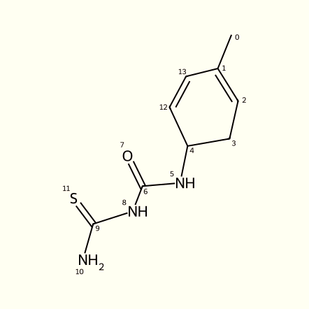 CC1=CCC(NC(=O)NC(N)=S)C=C1